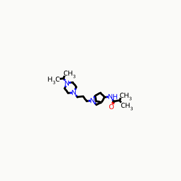 CC(C)C(=O)NC1CC2CC1CN2CCCN1CCN(C(C)C)CC1